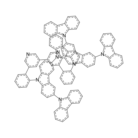 c1ccc(-n2c3ccc(-n4c5ccccc5c5ccccc54)cc3c3cc(-n4c5ccccc5c5ccccc54)ccc32)c(-c2cncc(-c3cncc(-c4ccccc4-n4c5ccc(-n6c7ccccc7c7ccccc76)cc5c5cc(-n6c7ccccc7c7ccccc76)ccc54)c3)c2)c1